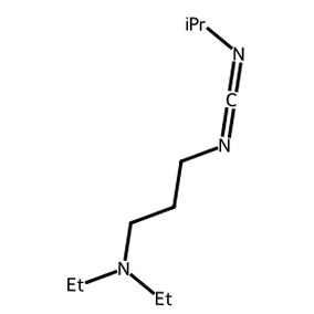 CCN(CC)CCCN=C=NC(C)C